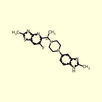 Cc1nc2cc(N3CCN([C@H](C)c4nc5nc(C)sc5cc4F)CC3)ccc2[nH]1